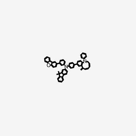 C=C1/C=C\C=C/CN(c2ccccc2)c2ccc(-c3ccc(N(c4cccc(-c5ccc6oc7ccccc7c6c5)c4)c4ccc5c(c4)C(C)(C)c4ccccc4-5)cc3)cc21